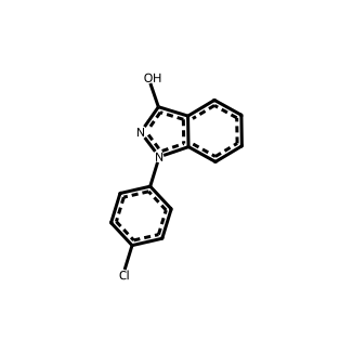 Oc1nn(-c2ccc(Cl)cc2)c2ccccc12